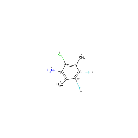 Cc1c(N)c(Cl)c(C)c(F)c1F